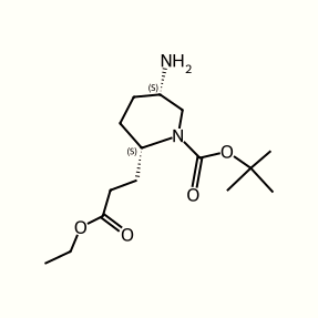 CCOC(=O)CC[C@@H]1CC[C@H](N)CN1C(=O)OC(C)(C)C